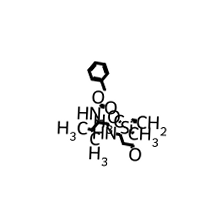 C=C[Si](C)(C)C(CC=O)NC(=O)[C@@H](NC(=O)OCc1ccccc1)C(C)C